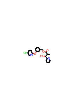 C=C(C(=O)OCc1cccc(Oc2ccc(Cl)cn2)c1)C(O)c1ccccn1